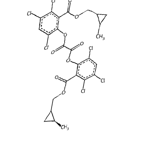 CC1CC1COC(=O)c1c(Cl)c(Cl)cc(Cl)c1OC(=O)C(=O)Oc1c(Cl)cc(Cl)c(Cl)c1C(=O)OCC1C[C@@H]1C